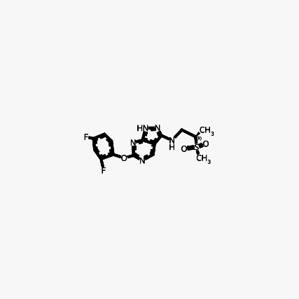 C[C@H](CNc1n[nH]c2nc(Oc3ccc(F)cc3F)ncc12)S(C)(=O)=O